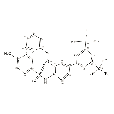 Cc1ccc(S(=O)(=O)Nc2ncc(-c3cc(C(F)(F)F)cc(C(F)(F)F)c3)nc2OCc2cccnc2)cc1